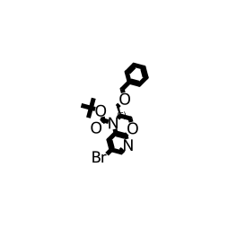 CC(C)(C)OC(=O)N1c2cc(Br)cnc2OC[C@@H]1COCc1ccccc1